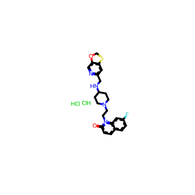 Cl.Cl.O=c1ccc2ccc(F)cc2n1CCN1CCC(NCc2cc3c(cn2)OCS3)CC1